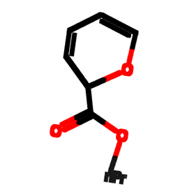 [CH2]CCOC(=O)C1C=CC=CO1